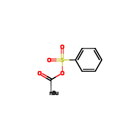 CCCCC(=O)OS(=O)(=O)c1ccccc1